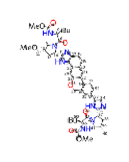 CCC(C)C(NC(=O)OC)C(=O)N1C[C@@H](COC)C[C@H]1c1nc2ccc3cc4c(cc3c2[nH]1)OCc1cc(-c2cnc([C@@H]3C[C@H](C)CN3C(=O)[C@@H](NC(=O)OC)C(C)CC)[nH]2)ccc1-4